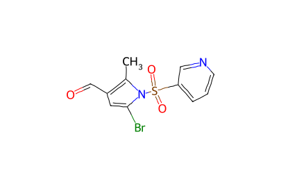 Cc1c(C=O)cc(Br)n1S(=O)(=O)c1cccnc1